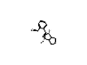 O=Cc1ccccc1C1=C[C@H]2C[C@@H]1C1CCCC12